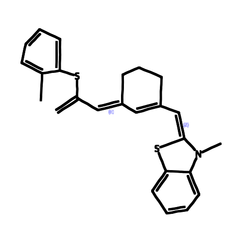 C=C(/C=C1C=C(/C=C2\Sc3ccccc3N2C)CCC/1)Sc1ccccc1C